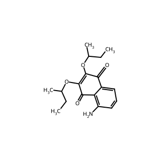 CCC(C)OC1=C(OC(C)CC)C(=O)c2c(N)cccc2C1=O